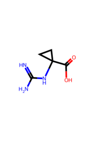 N=C(N)NC1(C(=O)O)CC1